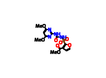 COC(=O)c1ccoc1S(=O)(=O)NC(=O)Nc1nc(OC)cc(OC)n1